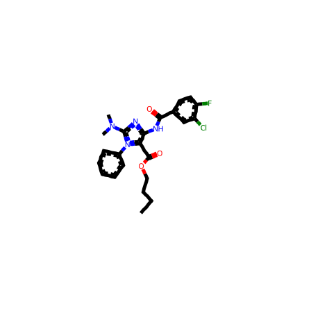 CCCCOC(=O)c1c(NC(=O)c2ccc(F)c(Cl)c2)nc(N(C)C)n1-c1ccccc1